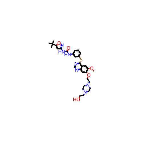 COc1cc2c(Sc3cccc(NC(=O)Nc4cc(C(C)(C)C)on4)c3)ncnc2cc1OCCN1CCN(CCO)CC1